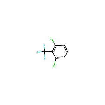 FC(F)(F)c1c(Cl)[c]ccc1Cl